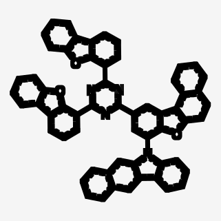 c1ccc2cc3c(cc2c1)c1ccccc1n3-c1cc(-c2nc(-c3cccc4c3oc3ccccc34)nc(-c3cccc4c3oc3ccccc34)n2)cc2c1oc1ccc3ccccc3c12